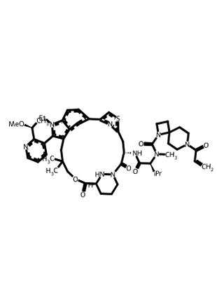 C=CC(=O)N1CCC2(CC1)CCN2C(=O)N(C)[C@H](C(=O)N[C@H]1Cc2nc(cs2)-c2ccc3c(c2)c(c(-c2cccnc2[C@H](C)OC)n3CC)CC(C)(C)COC(=O)[C@@H]2CCCN(N2)C1=O)C(C)C